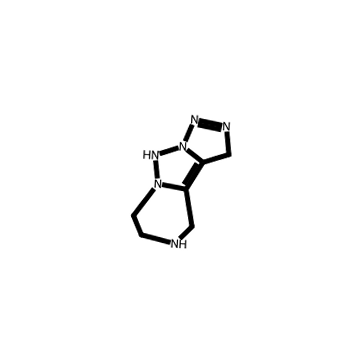 C1CN2NN3N=NCC3=C2CN1